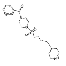 O=C(c1cccnc1)N1CCN(S(=O)(=O)CCCCC2CCNCC2)CC1